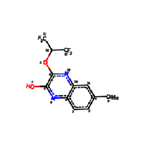 COc1ccc2nc(O)c(OC(C(F)(F)F)C(F)(F)F)nc2c1